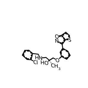 C[C@](O)(CNCc1ccccc1Cl)COc1cccc(-c2noc3ccsc23)c1